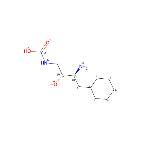 N[C@@H](CC1CCCCC1)[C@H](O)CNC(=O)O